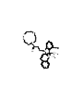 CC1(C)c2c(cccc2[N+](=O)[O-])N(CCC(=O)N2CCOCCOCCO2)C12C=Cc1ccccc1O2